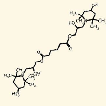 CC1(C)CC(O)CC(C)(C)N1CC(O)COC(=O)CCCCC(=O)OCC(O)CN1C(C)(C)CC(O)CC1(C)C